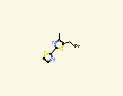 Cc1nc(-c2nccs2)sc1CC(C)C